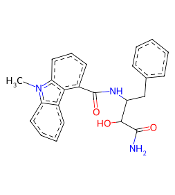 Cn1c2ccccc2c2c(C(=O)NC(Cc3ccccc3)C(O)C(N)=O)cccc21